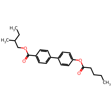 CCCCC(=O)Oc1ccc(-c2ccc(C(=O)OCC(C)CC)cc2)cc1